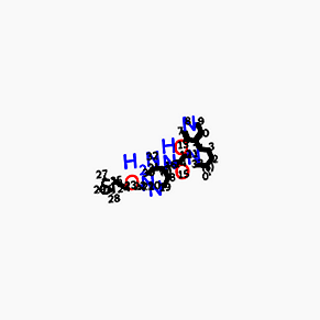 C[C@H]1CCC(c2ccncc2)N(C(=O)C(=O)N[C@H]2CC=NN(COCC[Si](C)(C)C)CC2N)C1